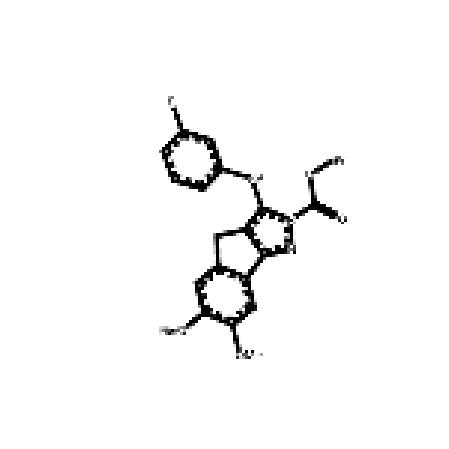 COc1cc2c(cc1OC)-c1nn(C(=O)OC(C)C)c(Nc3cccc(F)c3)c1C2